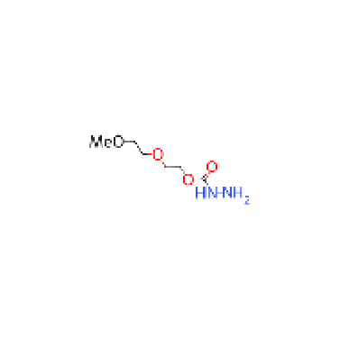 COCCOCCOC(=O)NN